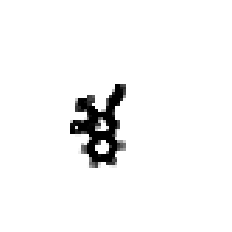 N#Cc1cc2c([n+]([O-])c1Br)CCCC2